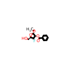 CO[C@H]1O[C@H](CO)[C@H](F)[C@H]1OC(=O)c1ccccc1